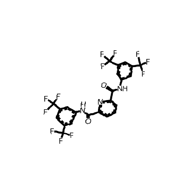 O=C(Nc1cc(C(F)(F)F)cc(C(F)(F)F)c1)c1cccc(C(=O)Nc2cc(C(F)(F)F)cc(C(F)(F)F)c2)n1